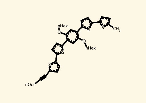 CCCCCCCCC#Cc1ccc(-c2ccc(-c3cc(OCCCCCC)c(-c4ccc(-c5ccc(C)s5)s4)cc3OCCCCCC)s2)s1